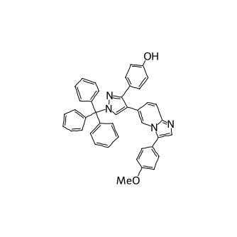 COc1ccc(-c2cnc3ccc(-c4cn(C(c5ccccc5)(c5ccccc5)c5ccccc5)nc4-c4ccc(O)cc4)cn23)cc1